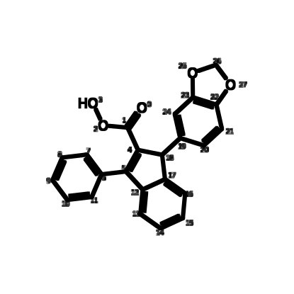 O=C(OO)C1=C(c2ccccc2)c2ccccc2C1c1ccc2c(c1)OCO2